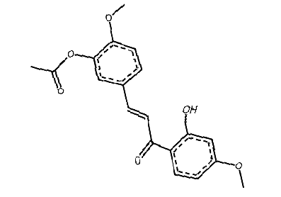 COc1ccc(C(=O)C=Cc2ccc(OC)c(OC(C)=O)c2)c(O)c1